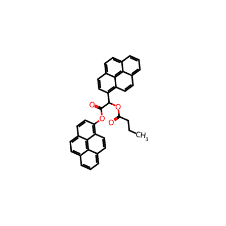 CCCC(=O)OC(C(=O)Oc1ccc2ccc3cccc4ccc1c2c34)c1ccc2ccc3cccc4ccc1c2c34